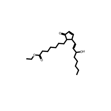 CCCCCC(O)C=CC1C=CC(=O)C1CCCCCCC(=O)OCC